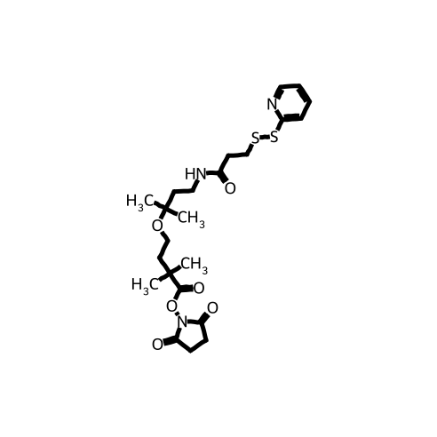 CC(C)(CCNC(=O)CCSSc1ccccn1)OCCC(C)(C)C(=O)ON1C(=O)CCC1=O